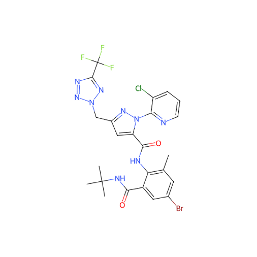 Cc1cc(Br)cc(C(=O)NC(C)(C)C)c1NC(=O)c1cc(Cn2nnc(C(F)(F)F)n2)nn1-c1ncccc1Cl